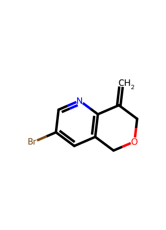 C=C1COCc2cc(Br)cnc21